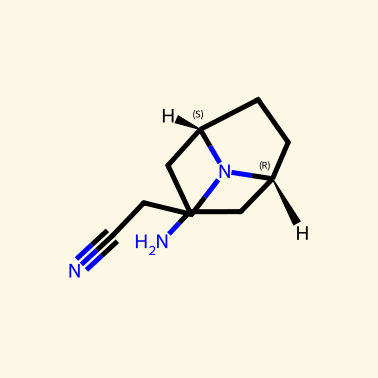 N#CCCN1[C@@H]2CC[C@H]1CC(N)C2